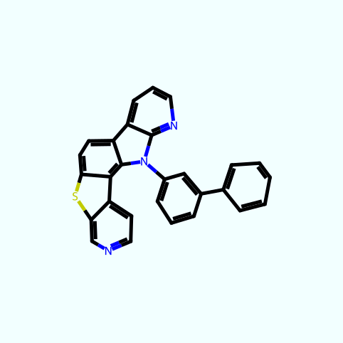 c1ccc(-c2cccc(-n3c4ncccc4c4ccc5sc6cnccc6c5c43)c2)cc1